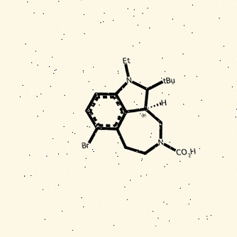 CCN1c2ccc(Br)c3c2[C@H](CN(C(=O)O)CC3)C1C(C)(C)C